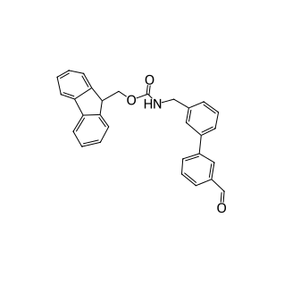 O=Cc1cccc(-c2cccc(CNC(=O)OCC3c4ccccc4-c4ccccc43)c2)c1